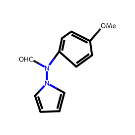 COc1ccc(N(C=O)n2cccc2)cc1